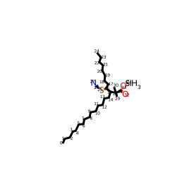 CCCCCCCCCCCCCCCC(C(CCCCCCCC)SC#N)C(C)(C)C(=O)O[SiH3]